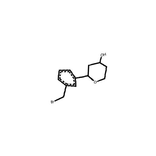 OC1CCOC(c2cccc(CBr)c2)C1